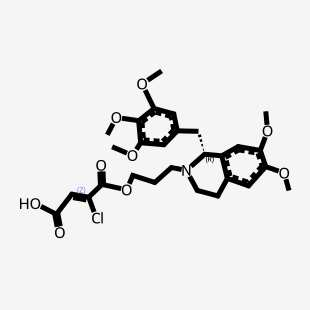 COc1cc2c(cc1OC)[C@@H](Cc1cc(OC)c(OC)c(OC)c1)N(CCCOC(=O)/C(Cl)=C/C(=O)O)CC2